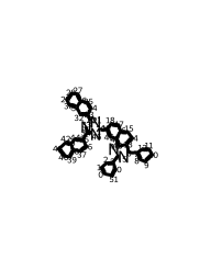 c1ccc(-c2nc(-c3ccccc3)c3ccc4ccc(-c5nc(-c6ccc7ccccc7c6)nc(-c6ccc7ccccc7c6)n5)cc4c3n2)cc1